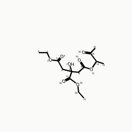 CCOC(=O)CC(O)(CC(=O)OC(C)C(C)=O)C(=O)OCC